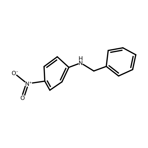 O=[N+]([O-])c1ccc(NCc2ccccc2)cc1